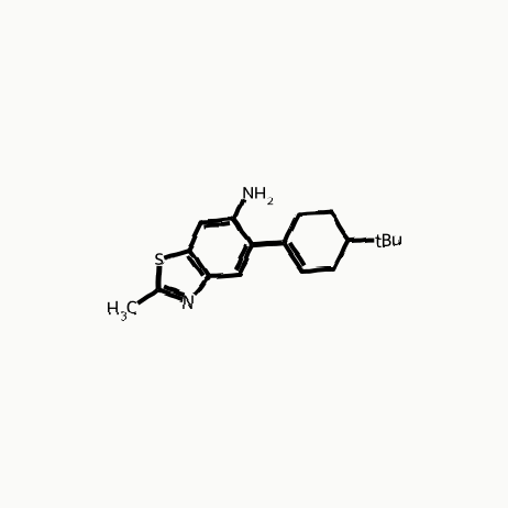 Cc1nc2cc(C3=CCC(C(C)(C)C)CC3)c(N)cc2s1